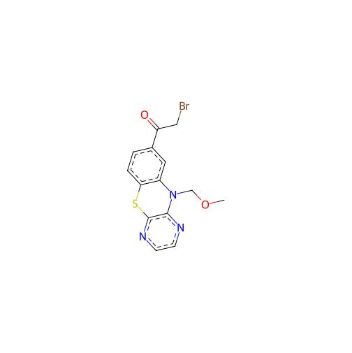 COCN1c2cc(C(=O)CBr)ccc2Sc2nccnc21